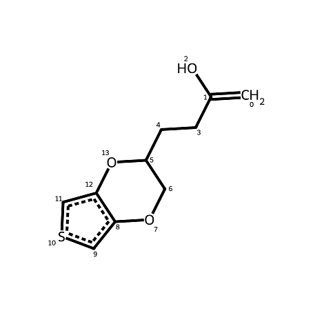 C=C(O)CCC1COc2cscc2O1